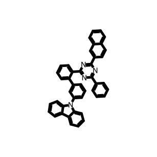 c1ccc(-c2nc(-c3ccc4ccccc4c3)nc(-c3ccccc3-c3cccc(-n4c5ccccc5c5ccccc54)c3)n2)cc1